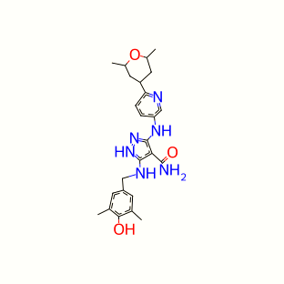 Cc1cc(CNc2[nH]nc(Nc3ccc(C4CC(C)OC(C)C4)nc3)c2C(N)=O)cc(C)c1O